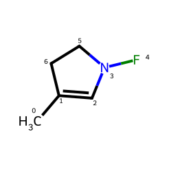 CC1=CN(F)CC1